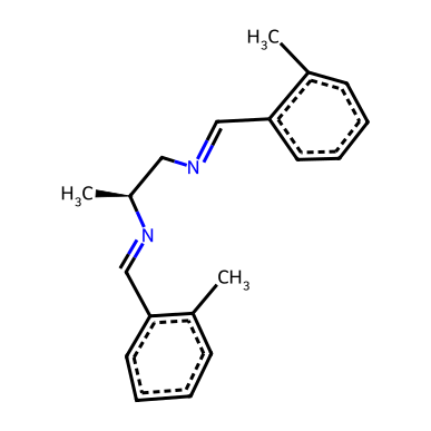 Cc1ccccc1/C=N/C[C@H](C)/N=C/c1ccccc1C